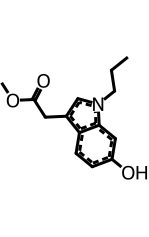 CCCn1cc(CC(=O)OC)c2ccc(O)cc21